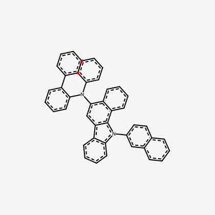 c1ccc(-c2ccccc2N(c2ccccc2)c2cc3c4ccccc4n(-c4ccc5ccccc5c4)c3c3ccccc23)cc1